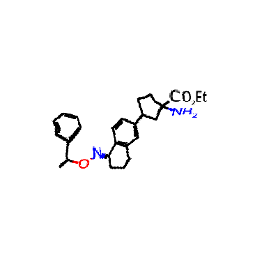 CCOC(=O)C1(N)CCC(c2ccc3c(c2)CCCC3=NOC(C)c2ccccc2)C1